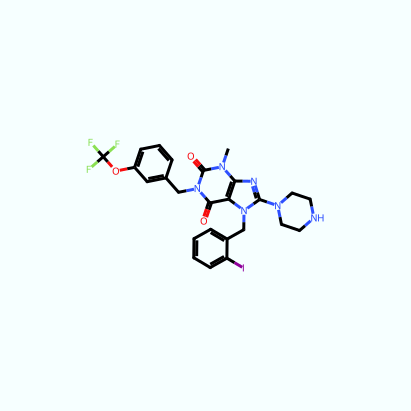 Cn1c(=O)n(Cc2cccc(OC(F)(F)F)c2)c(=O)c2c1nc(N1CCNCC1)n2Cc1ccccc1I